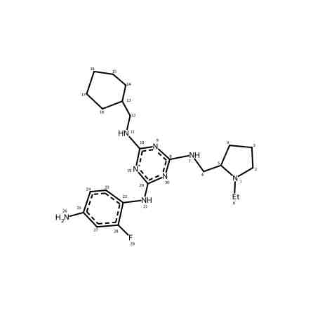 CCN1CCCC1CNc1nc(NCC2CCCCC2)nc(Nc2ccc(N)cc2F)n1